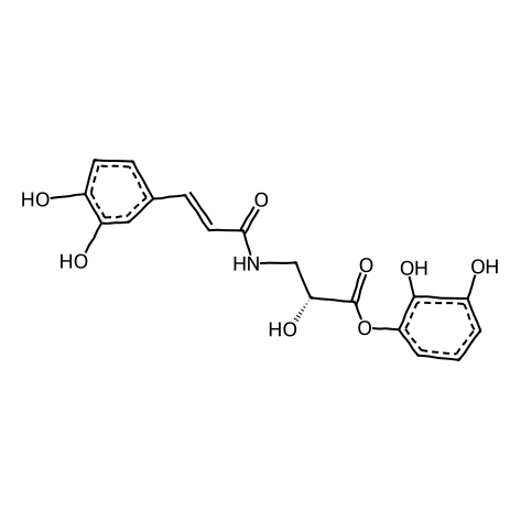 O=C(/C=C/c1ccc(O)c(O)c1)NC[C@@H](O)C(=O)Oc1cccc(O)c1O